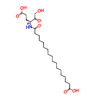 O=C(O)CCCCCCCCCCCCCCCCC(=O)N[C@@H](CCC(=O)O)C(=O)CO